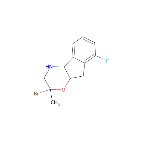 CC1(Br)CNC2c3cccc(F)c3CC2O1